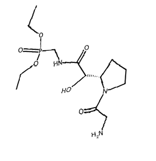 CCOP(=O)(CNC(=O)C(O)[C@@H]1CCCN1C(=O)CN)OCC